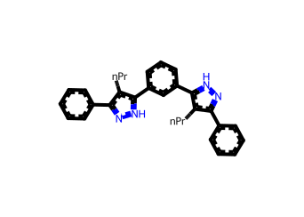 CCCc1c(-c2ccccc2)n[nH]c1-c1cccc(-c2[nH]nc(-c3ccccc3)c2CCC)c1